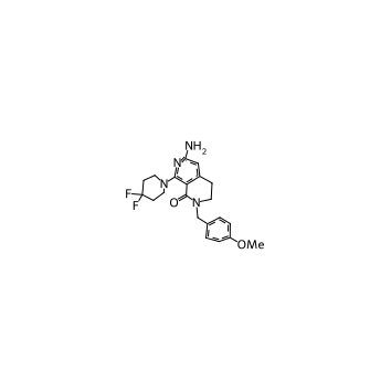 COc1ccc(CN2CCc3cc(N)nc(N4CCC(F)(F)CC4)c3C2=O)cc1